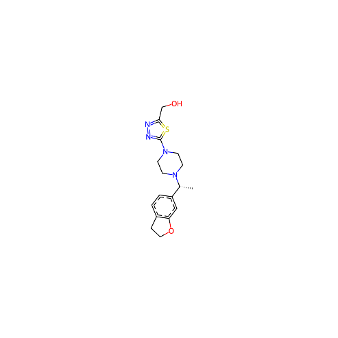 C[C@H](c1ccc2c(c1)OCC2)N1CCN(c2nnc(CO)s2)CC1